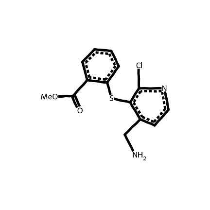 COC(=O)c1ccccc1Sc1c(CN)ccnc1Cl